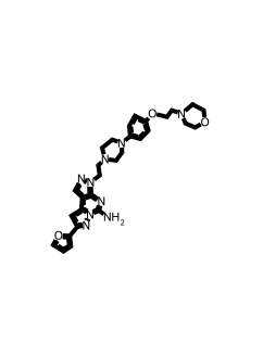 Nc1nc2c(cnn2CCN2CCN(c3ccc(OCCN4CCOCC4)cc3)CC2)c2cc(-c3ccco3)nn12